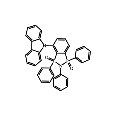 O=P1(c2ccccc2)c2cccc(-n3c4ccccc4c4ccccc43)c2P(=O)(c2ccccc2)N1c1ccccc1